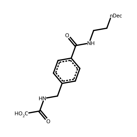 CCCCCCCCCCCCNC(=O)c1ccc(CNC(=O)C(=O)O)cc1